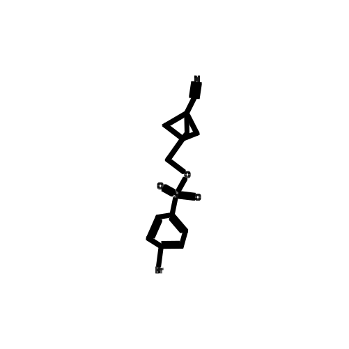 N#CC12CC(COS(=O)(=O)c3ccc(Br)cc3)(C1)C2